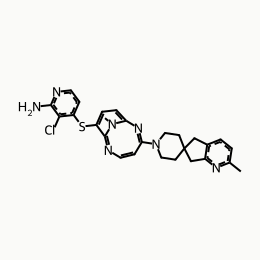 Cc1ccc2c(n1)CC1(CCN(/C3=N/C4=CC=C(Sc5ccnc(N)c5Cl)/C(=N/C=C3)N4C)CC1)C2